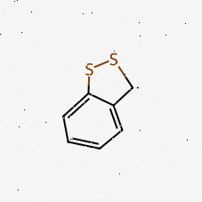 [CH]1SSc2ccccc21